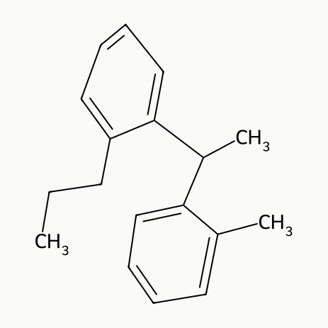 CCCc1ccccc1C(C)c1ccccc1C